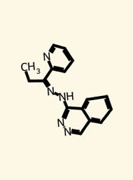 CCC(=NNc1nncc2ccccc12)c1ccccn1